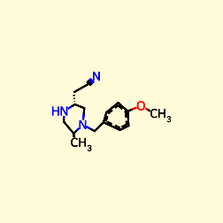 COc1ccc(CN2C[C@@H](CC#N)NCC2C)cc1